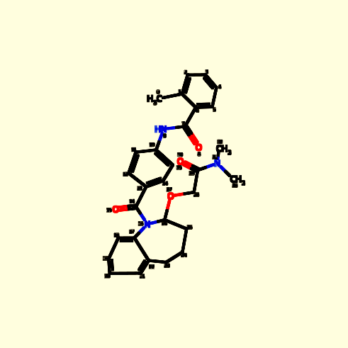 Cc1ccccc1C(=O)Nc1ccc(C(=O)N2c3ccccc3CCCC2OCC(=O)N(C)C)cc1